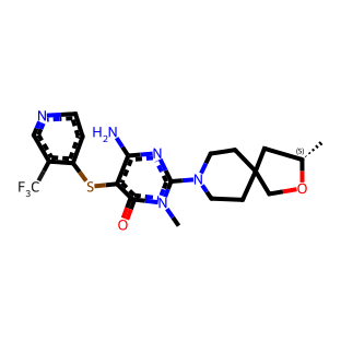 C[C@H]1CC2(CCN(c3nc(N)c(Sc4ccncc4C(F)(F)F)c(=O)n3C)CC2)CO1